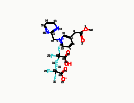 COC(=O)Cc1ccc[n+](Cc2ncccn2)c1.O=C(O)C(F)(F)F.O=C([O-])C(F)(F)F